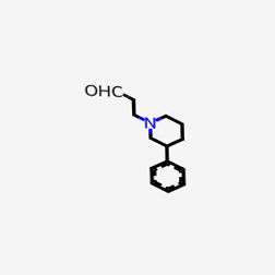 O=CCCN1CCCC(c2ccccc2)C1